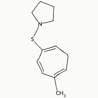 CC1=CCC=C(SN2CCCC2)C=C1